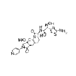 Nc1nc(C(=NO)C(=O)N[C@@H]2C(=O)N3C(C(=O)O)=C(C=C4CCN(c5ccncc5)C4=O)CC[C@H]23)cs1